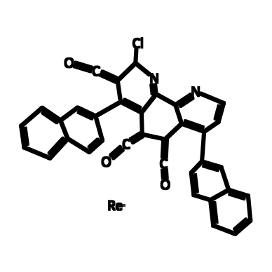 O=C=C1C(c2ccc3ccccc3c2)=c2c(=C=O)c(=C=O)c3c(-c4ccc5ccccc5c4)ccnc3c2=NC1Cl.[Re]